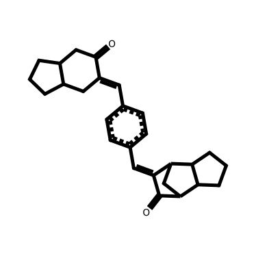 O=C1CC2CCCC2C/C1=C\c1ccc(/C=C2/C(=O)C3CC2C2CCCC32)cc1